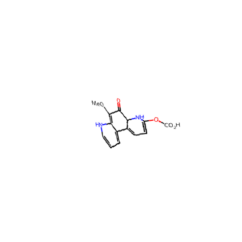 COC1=C2NC=CC=C2C2=CC=C(OC(=O)O)NC2C1=O